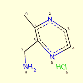 Cc1nccnc1CN.Cl